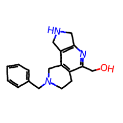 OCc1nc2c(c3c1CCN(Cc1ccccc1)C3)CNC2